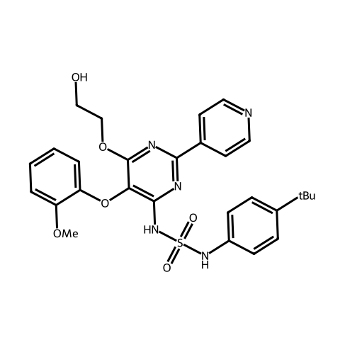 COc1ccccc1Oc1c(NS(=O)(=O)Nc2ccc(C(C)(C)C)cc2)nc(-c2ccncc2)nc1OCCO